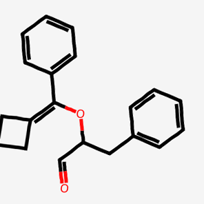 O=CC(Cc1ccccc1)OC(=C1CCC1)c1ccccc1